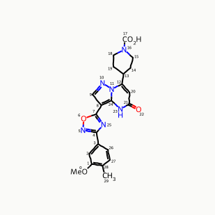 COc1cc(-c2noc(-c3cnn4c(C5CCN(C(=O)O)CC5)cc(=O)[nH]c34)n2)ccc1C